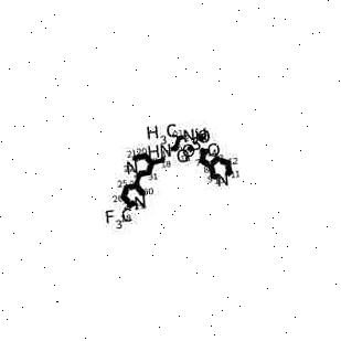 C[C@H](NS(=O)(=O)c1cc2cnccc2o1)C(=O)NCc1ccnc(-c2ccc(C(F)(F)F)nc2)c1